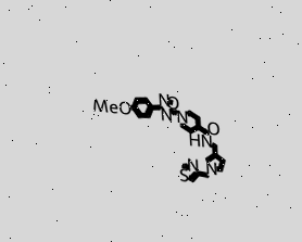 COc1ccc(-c2noc(N3CCC(C(=O)NCC4CCN(Cc5cscn5)C4)CC3)n2)cc1